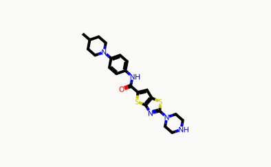 CC1CCN(c2ccc(NC(=O)c3cc4sc(N5CCNCC5)nc4s3)cc2)CC1